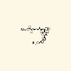 COC(=O)N/C=C/CCC(C)c1cc(O)c(C(=O)C(C)Cc2ccc(OCCC(F)(F)F)s2)c(=O)o1